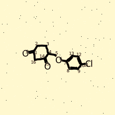 O=C1CCC(COc2ccc(Cl)cc2)C(=O)C1